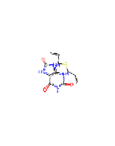 C=CCSCC=C.O=c1[nH]c(=O)c2[nH]c(=O)[nH]c2[nH]1